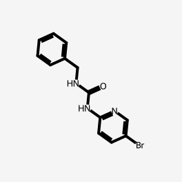 O=C(NCc1ccccc1)Nc1ccc(Br)cn1